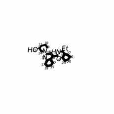 CCC(NC(=O)c1cc(N2CCC[C@H](O)C2)nc2ccccc12)c1ccccc1